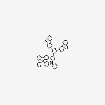 c1ccc(N(c2ccc(-c3cc(-c4ccc5oc6ccccc6c5c4)cc(-c4ccc5sc6ccccc6c5c4)c3)cc2)c2ccc3c(c2)C2(c4ccccc4-c4ccccc42)c2ccccc2-3)cc1